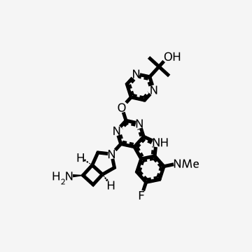 CNc1cc(F)cc2c1[nH]c1nc(Oc3cnc(C(C)(C)O)nc3)nc(N3C[C@H]4C[C@@H](N)[C@H]4C3)c12